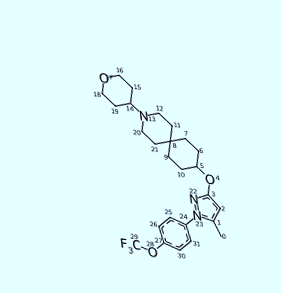 Cc1cc(OC2CCC3(CC2)CCN(C2CCOCC2)CC3)nn1-c1ccc(OC(F)(F)F)cc1